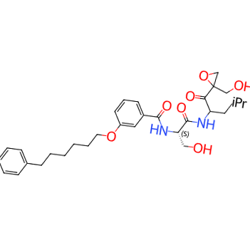 CC(C)CC(NC(=O)[C@H](CO)NC(=O)c1cccc(OCCCCCCc2ccccc2)c1)C(=O)C1(CO)CO1